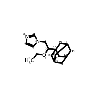 CCOC(Cn1ccnc1)C12CC3CC(CC(C3)C1)C2